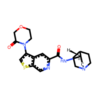 O=C(N[C@H]1CN2CCC1CC2)c1cc2c(N3CCOCC3=O)csc2cn1